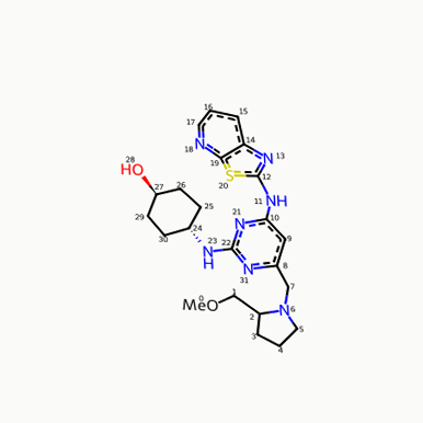 COCC1CCCN1Cc1cc(Nc2nc3cccnc3s2)nc(N[C@H]2CC[C@H](O)CC2)n1